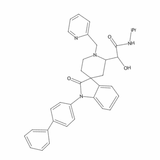 CC(C)NC(=O)C(O)C1CC2(CCN1Cc1ccccn1)C(=O)N(c1ccc(-c3ccccc3)cc1)c1ccccc12